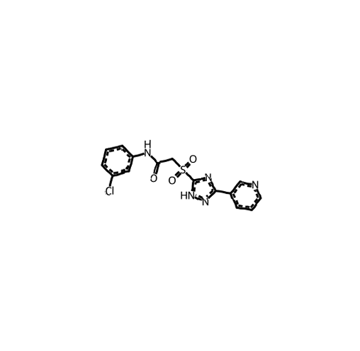 O=C(CS(=O)(=O)c1nc(-c2cccnc2)n[nH]1)Nc1cccc(Cl)c1